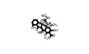 C[C@H]1c2cccc(O)c2C(=O)C2=C(O)[C@]3(O)C(=O)C(C(N)=O)=C(O)[C@@H](N(C)C)[C@@H]3[C@@H](OC(=O)NC(C)(C)C)[C@@H]21